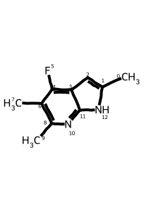 Cc1cc2c(F)c(C)c(C)nc2[nH]1